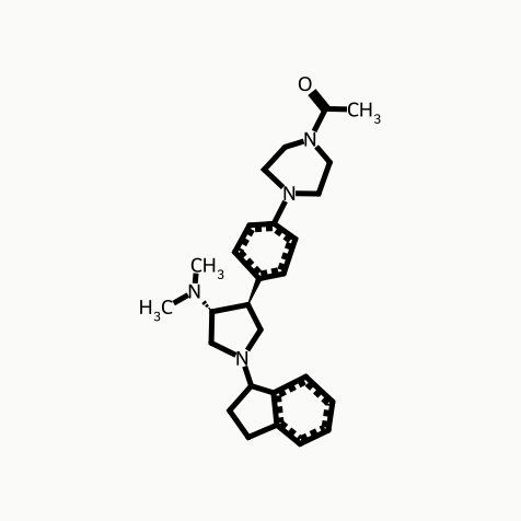 CC(=O)N1CCN(c2ccc([C@H]3CN(C4CCc5ccccc54)C[C@@H]3N(C)C)cc2)CC1